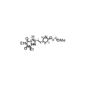 CCn1c(=O)c2[nH]c(C=Cc3ccc(OCCOC)nc3)nc2n(CC)c1=O